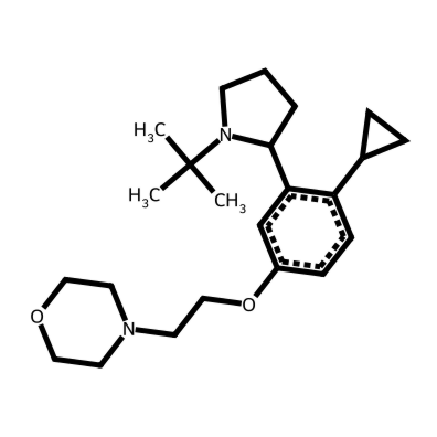 CC(C)(C)N1CCCC1c1cc(OCCN2CCOCC2)ccc1C1CC1